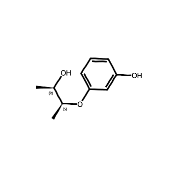 C[C@H](Oc1cccc(O)c1)[C@@H](C)O